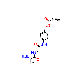 CNC(=O)OCc1ccc(NC(=O)CNC(=O)[C@@H](N)C(C)C)cc1